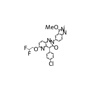 COc1c2cc(-n3nc4ccc(OCC(F)F)nc4c(-c4ccc(Cl)cc4)c3=O)ccc2nn1C